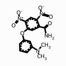 CN(C)c1cccc(Oc2cc(C(N)=O)c([N+](=O)[O-])cc2[N+](=O)[O-])c1